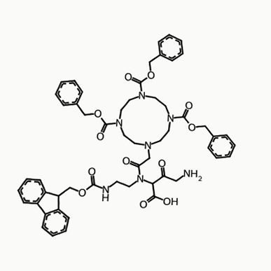 NCC(=O)C(C(=O)O)N(CCNC(=O)OCC1c2ccccc2-c2ccccc21)C(=O)CN1CCN(C(=O)OCc2ccccc2)CCN(C(=O)OCc2ccccc2)CCN(C(=O)OCc2ccccc2)CC1